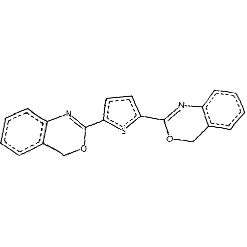 c1ccc2c(c1)COC(c1ccc(C3=Nc4ccccc4CO3)s1)=N2